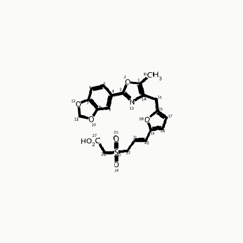 Cc1oc(-c2ccc3c(c2)OCO3)nc1Cc1ccc(C=CCS(=O)(=O)CC(=O)O)o1